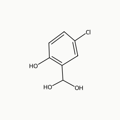 Oc1ccc(Cl)cc1C(O)O